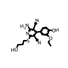 CCOc1cc(-c2c(C#N)c(N)nc(SCCCO)c2C#N)ccc1O